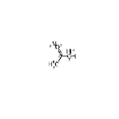 CC(=O)O.I.[Ni]